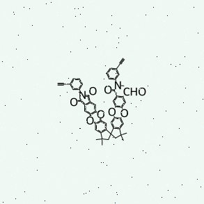 C#Cc1cccc(N(C)C(=O)c2cc3c(cc2C=O)Oc2cc4c(cc2O3)C2(CC4(C)C)CC(C)(C)c3cc4oc5cc6c(=O)n(-c7cccc(C#C)c7)c(=O)c6cc5oc4cc32)c1